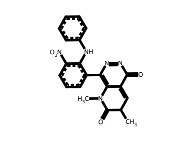 CC1C=C2C(=O)N=NC(c3cccc([N+](=O)[O-])c3Nc3ccccc3)=C2N(C)C1=O